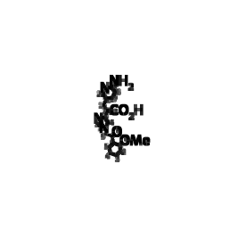 COc1ccccc1C(=O)Cn1cnc(C(Cc2ccc(N)nc2)C(=O)O)c1